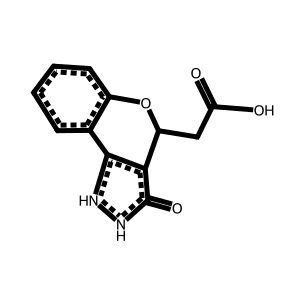 O=C(O)CC1Oc2ccccc2-c2[nH][nH]c(=O)c21